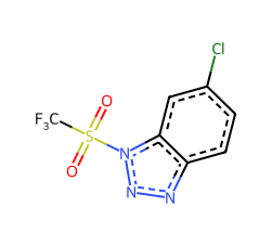 O=S(=O)(n1nnc2ccc(Cl)cc21)C(F)(F)F